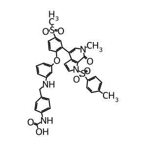 Cc1ccc(S(=O)(=O)n2ccc3c(-c4cc(S(C)(=O)=O)ccc4Oc4cccc(NCc5ccc(NC(=O)O)cc5)c4)cn(C)c(=O)c32)cc1